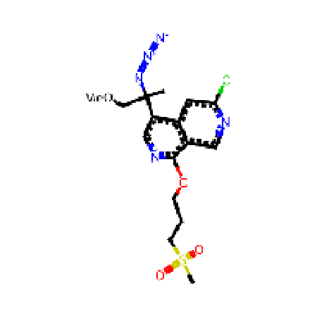 COCC(C)(N=[N+]=[N-])c1cnc(OCCCS(C)(=O)=O)c2cnc(Cl)cc12